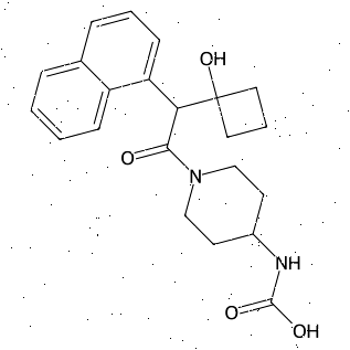 O=C(O)NC1CCN(C(=O)C(c2cccc3ccccc23)C2(O)CCC2)CC1